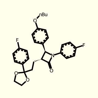 CCCCOc1ccc([C@@H]2[C@@H](CCC3(c4ccc(F)cc4)OCCO3)C(=O)N2c2ccc(F)cc2)cc1